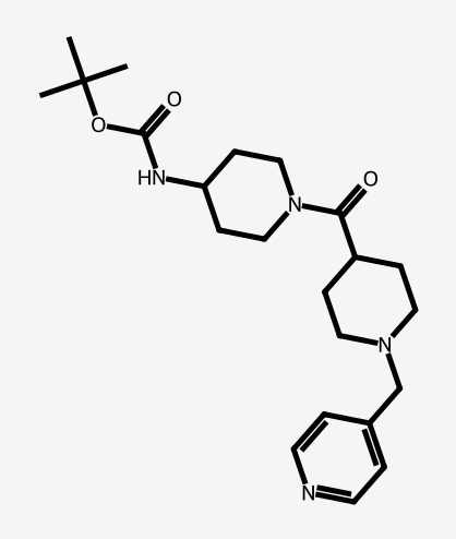 CC(C)(C)OC(=O)NC1CCN(C(=O)C2CCN(Cc3ccncc3)CC2)CC1